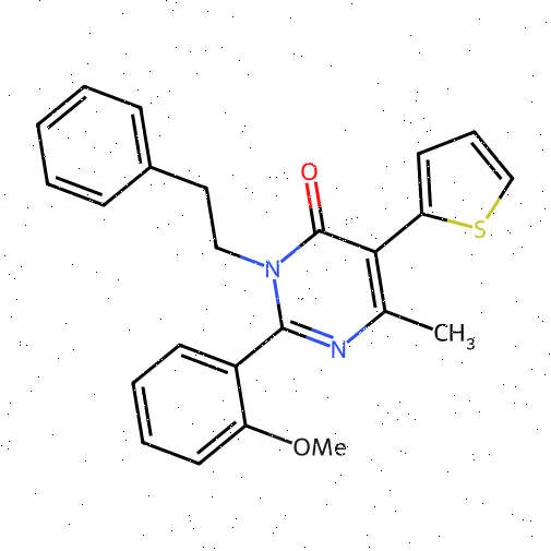 COc1ccccc1-c1nc(C)c(-c2cccs2)c(=O)n1CCc1ccccc1